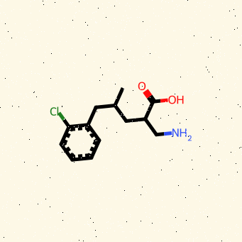 CC(Cc1ccccc1Cl)CC(CN)C(=O)O